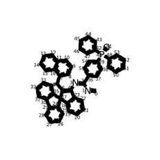 C=N/C(=N\C1=C(Cc2cccc3ccccc23)C2(c3ccccc31)c1ccccc1-c1ccccc12)c1ccc(P(=O)(c2ccccc2)c2ccccc2)cc1